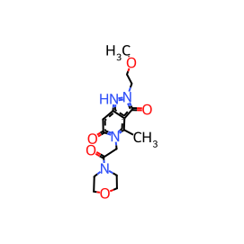 COCCn1[nH]c2cc(=O)n(CC(=O)N3CCOCC3)c(C)c2c1=O